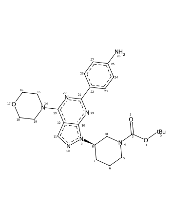 CC(C)(C)OC(=O)N1CCC[C@@H](n2ncc3c(N4CCOCC4)nc(-c4ccc(N)cc4)nc32)C1